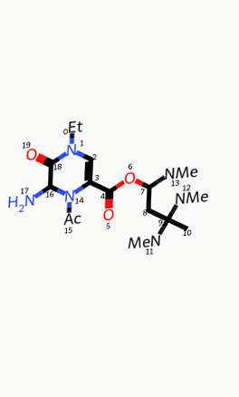 CCN1C=C(C(=O)OC(CC(C)(NC)NC)NC)N(C(C)=O)C(N)C1=O